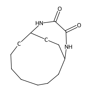 O=C1NC2CCCCCCCC(CC2)NC1=O